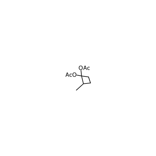 CC(=O)OC1(OC(C)=O)CCC1C